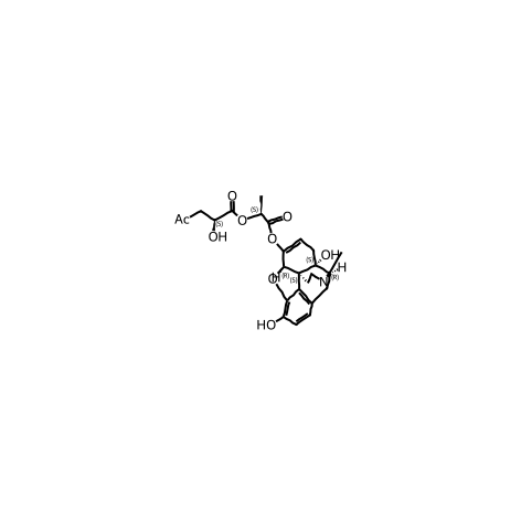 CC(=O)C[C@H](O)C(=O)O[C@@H](C)C(=O)OC1=CC[C@@]2(O)[C@H]3Cc4ccc(O)c5c4[C@@]2(CCN3C)[C@H]1O5